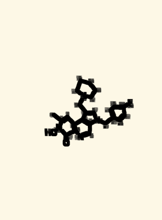 Cc1cc2c(ncc3c2c(CN2CCCCC2)cn3Cc2ccc(F)cc2)c(=O)n1O